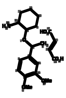 COc1ccc(C(C)OC2CCCCC2N)cc1OC.O=C(O)C=CC(=O)O